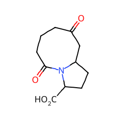 O=C1CCCC(=O)N2C(CCC2C(=O)O)C1